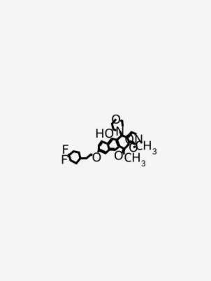 COC(=O)c1c(C)oc2c1c(C(c1ccncc1)N1CCOCC1)c(O)c1ccc(OCCC3CCC(F)(F)CC3)cc12